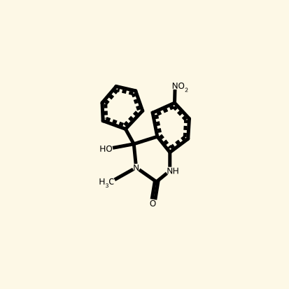 CN1C(=O)Nc2ccc([N+](=O)[O-])cc2C1(O)c1ccccc1